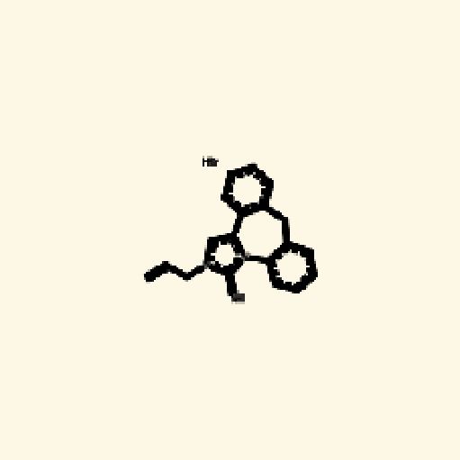 Br.C=CCn1cc2n(c1=N)-c1ccccc1Cc1ccccc1-2